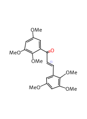 COc1cc(/C=C/C(=O)c2cc(OC)cc(OC)c2OC)c(OC)c(OC)c1